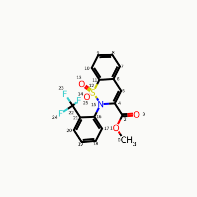 COC(=O)C1=Cc2ccccc2S(=O)(=O)N1c1ccccc1C(F)(F)F